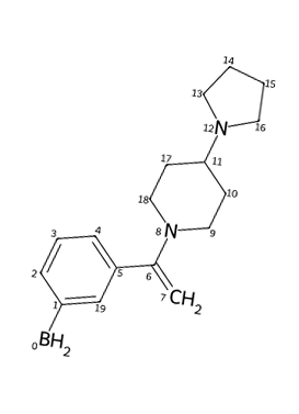 Bc1cccc(C(=C)N2CCC(N3CCCC3)CC2)c1